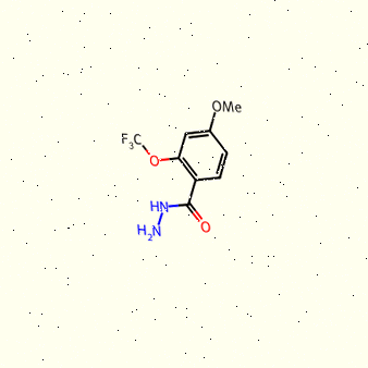 COc1ccc(C(=O)NN)c(OC(F)(F)F)c1